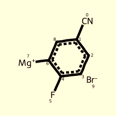 N#Cc1ccc(F)[c]([Mg+])c1.[Br-]